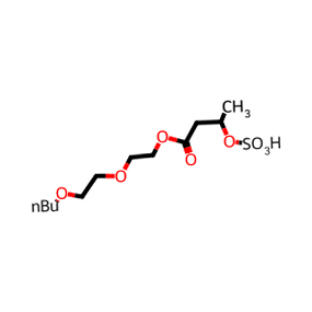 CCCCOCCOCCOC(=O)CC(C)OS(=O)(=O)O